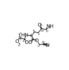 CO[C@@H](C)C(=O)N[C@@H](CCC(=O)C=N)C(=O)OCC#N